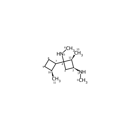 CN[C@H]1CC(NC)(C2CC[C@@H]2C)[C@H]1C